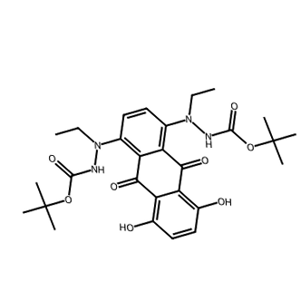 CCN(NC(=O)OC(C)(C)C)c1ccc(N(CC)NC(=O)OC(C)(C)C)c2c1C(=O)c1c(O)ccc(O)c1C2=O